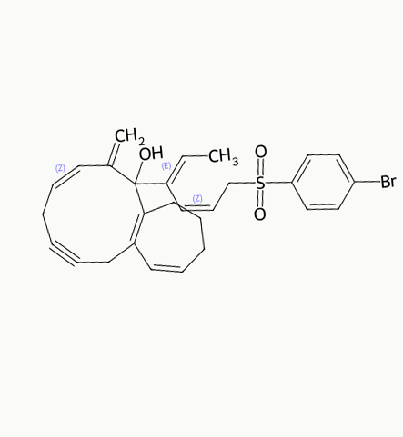 C=C1/C=C\CC#CCC2=C(CCCC=C2)C1(O)C(/C=C\CS(=O)(=O)c1ccc(Br)cc1)=C/C